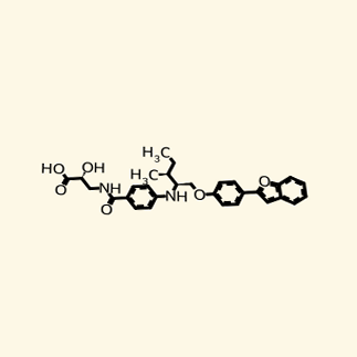 CC[C@H](C)[C@@H](COc1ccc(-c2cc3ccccc3o2)cc1)Nc1ccc(C(=O)NC[C@@H](O)C(=O)O)cc1